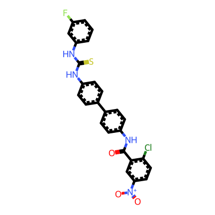 O=C(Nc1ccc(-c2ccc(NC(=S)Nc3cccc(F)c3)cc2)cc1)c1cc([N+](=O)[O-])ccc1Cl